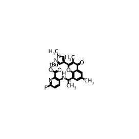 Cc1cc([C@@H](C)Nc2ccc(F)nc2C(=O)OC(C)(C)C)c2oc(-c3cnn(C)c3)c(C)c(=O)c2c1